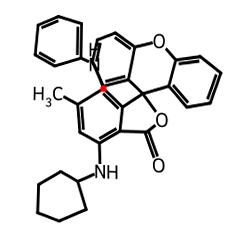 Cc1cc(NC2CCCCC2)c2c(c1Nc1ccccc1)C1(OC2=O)c2ccccc2Oc2ccccc21